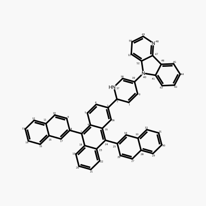 C1=CC(c2ccc3c(-c4ccc5ccccc5c4)c4ccccc4c(-c4ccc5ccccc5c4)c3c2)NC=C1n1c2ccccc2c2ncccc21